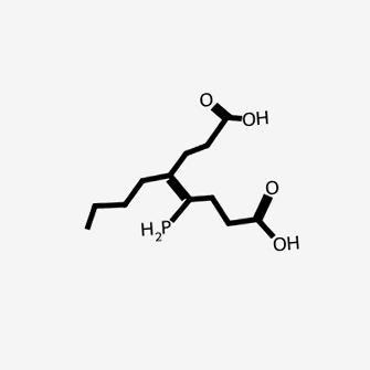 CCCCC(CCC(=O)O)=C(P)CCC(=O)O